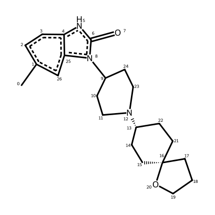 Cc1ccc2[nH]c(=O)n(C3CCN([C@H]4CC[C@@]5(CCCO5)CC4)CC3)c2c1